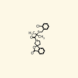 CC(C)(SCc1ccccc1Cl)C(=O)N1CCC2(C1)OC(=O)c1ccccc12